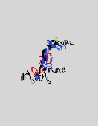 COC(=O)N[C@@H](CC/C=C/C(=O)N(C)C)C(=O)Nc1cccn(Cc2cc3ncc(F)c(OCC(C)C)c3[nH]2)c1=O